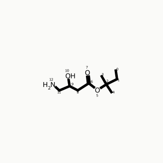 CCC(C)(C)OC(=O)CC(O)CN